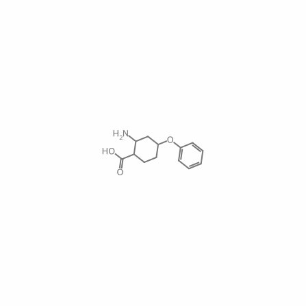 NC1CC(Oc2ccccc2)CCC1C(=O)O